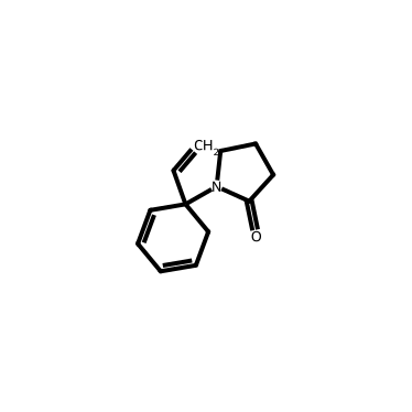 C=CC1(N2CCCC2=O)C=CC=CC1